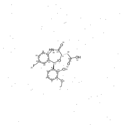 COc1cccc([C@@H]2O[C@@H](CC(=O)O)C(=O)Nc3ccc(F)cc32)c1Cl